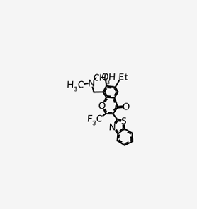 CCc1cc2c(=O)c(-c3nc4ccccc4s3)c(C(F)(F)F)oc2c(CN(C)C)c1O